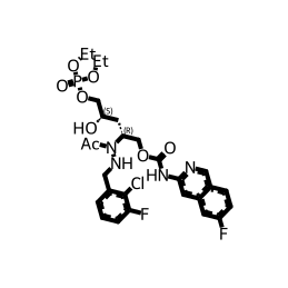 CCOP(=O)(OCC)OC[C@@H](O)C[C@H](COC(=O)Nc1cc2cc(F)ccc2cn1)N(NCc1cccc(F)c1Cl)C(C)=O